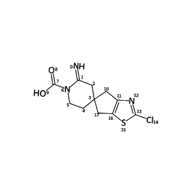 N=C1CC2(CCN1C(=O)O)Cc1nc(Cl)sc1C2